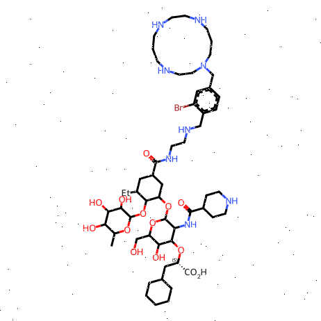 CCC1CC(C(=O)NCCNCc2ccc(CN3CCCNCCNCCCNCC3)cc2Br)CC(OC2OC(CO)C(O)C(O[C@@H](CC3CCCCC3)C(=O)O)C2NC(=O)C2CCNCC2)C1OC1OC(C)C(O)C(O)C1O